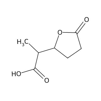 CC(C(=O)O)C1CCC(=O)O1